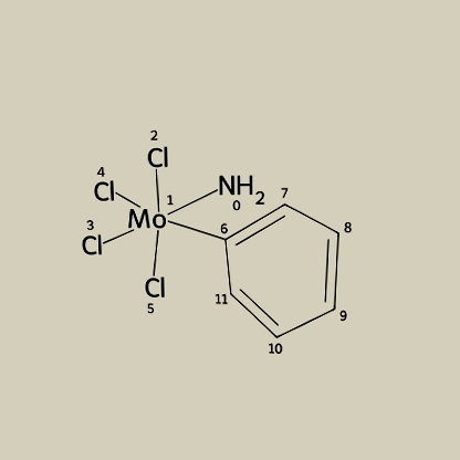 [NH2][Mo]([Cl])([Cl])([Cl])([Cl])[c]1ccccc1